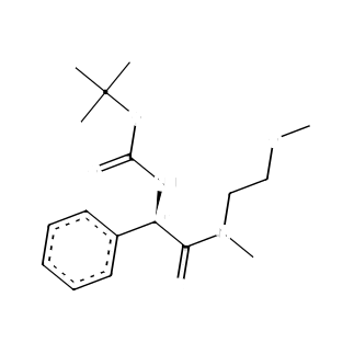 COCCN(C)C(=O)[C@H](NC(=O)OC(C)(C)C)c1ccccc1